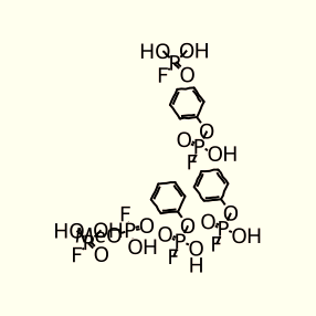 COP(=O)(O)F.O=P(O)(F)Oc1ccccc1.O=P(O)(F)Oc1ccccc1.O=P(O)(F)Oc1ccccc1.O=P(O)(O)F.O=P(O)(O)F